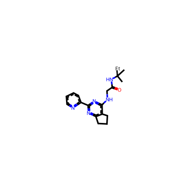 CCC(C)(C)NC(=O)CNc1nc(-c2ccccn2)nc2c1CCC2